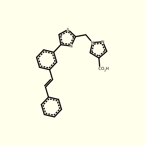 O=C(O)c1cnn(Cc2nc(-c3cccc(C=Cc4ccccc4)c3)cs2)c1